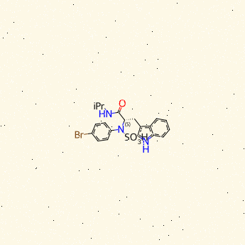 CC(C)NC(=O)[C@H](Cc1c[nH]c2ccccc12)N(c1ccc(Br)cc1)S(=O)(=O)O